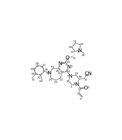 C=CC(=O)N1CCN(c2nc(OC[C@@H]3CCCN3C)nc3c2CCCN(c2cccc(C)c2C)C3)CC1CC#N